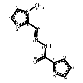 Cn1ccnc1C=NNC(=O)c1ccco1